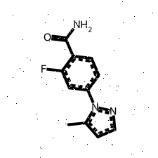 Cc1ccnn1-c1ccc(C(N)=O)c(F)c1